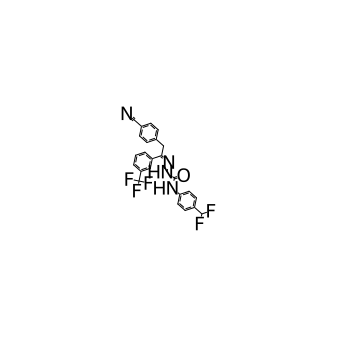 N#Cc1ccc(C/C(=N/NC(=O)Nc2ccc(C(F)F)cc2)c2cccc(C(F)(F)F)c2)cc1